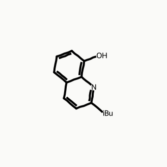 CCC(C)c1ccc2cccc(O)c2n1